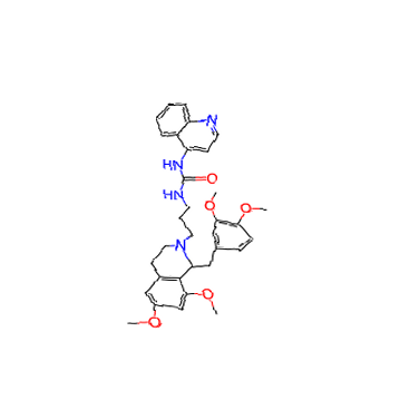 COc1cc2c(c(OC)c1)C(Cc1ccc(OC)c(OC)c1)N(CCCNC(=O)Nc1ccnc3ccccc13)CC2